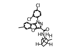 Cc1ccc2c(c1)oc1c(C(=O)N[C@@H]3C[C@H]4C[C@@H]([C@@H]3C)C4(C)C)nn(-c3ccc(Cl)cc3Cl)c12